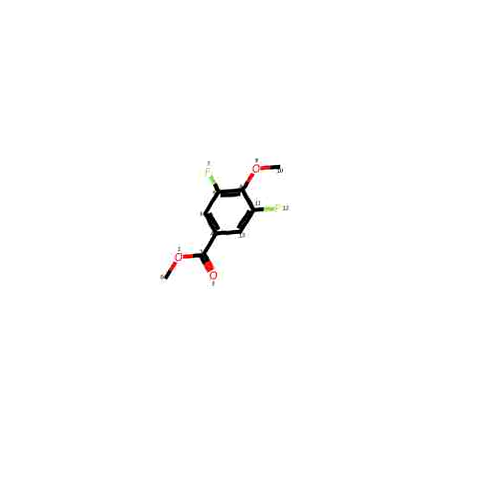 COC(=O)c1cc(F)c(OC)c(F)c1